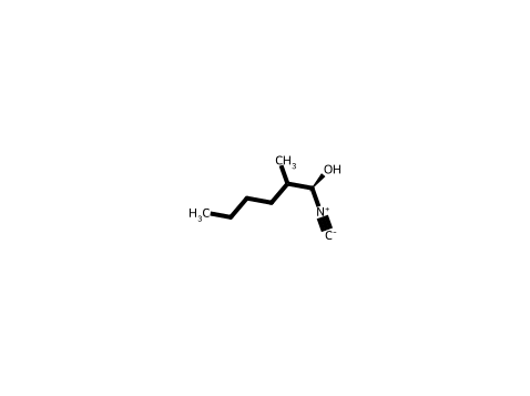 [C-]#[N+][C@H](O)C(C)CCCC